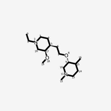 CCN1CC[C@@H](CCO[C@H]2CN(C)CCC2C)[C@@H](OC)C1